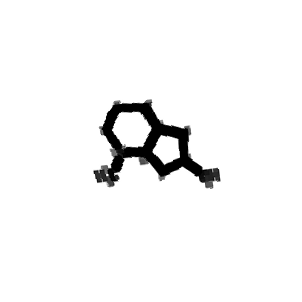 CN1CCCC2CC(O)CC21